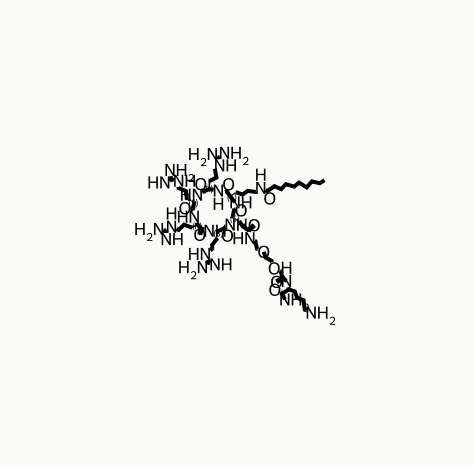 CCCCCCCCCC(=O)NCCCC[C@@H]1NC(=O)[C@H](CCC(=O)NCCOCCOCC(=O)NC(CCCCN)C(N)=O)NC(=O)[C@H](CCCNC(=N)N)NC(=O)[C@@H](CCCNC(=N)N)NC(=O)[C@H](CCCNC(=N)N)NC(=O)[C@@H](CCCNC(N)N)NC1=O